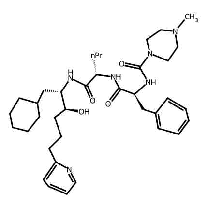 CCC[C@H](NC(=O)[C@H](Cc1ccccc1)NC(=O)N1CCN(C)CC1)C(=O)N[C@@H](CC1CCCCC1)[C@@H](O)CCCc1ccccn1